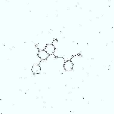 COc1ccccc1CNc1cc(C)cn2c(=O)cc(N3CCOCC3)nc12